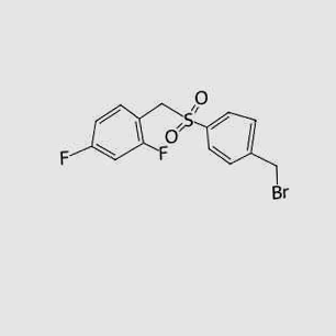 O=S(=O)(Cc1ccc(F)cc1F)c1ccc(CBr)cc1